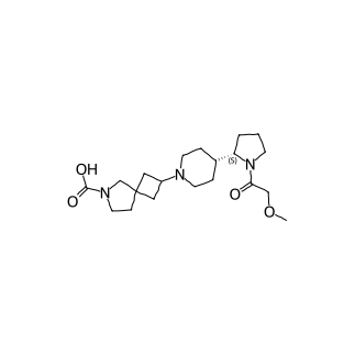 COCC(=O)N1CCC[C@H]1C1CCN(C2CC3(CCN(C(=O)O)C3)C2)CC1